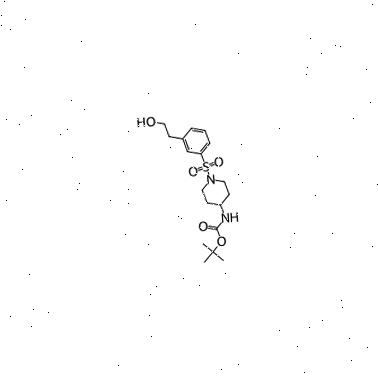 CC(C)(C)OC(=O)NC1CCN(S(=O)(=O)c2cccc(CCO)c2)CC1